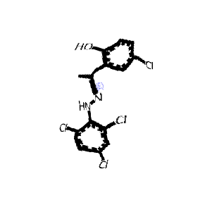 C/C(=N\Nc1c(Cl)cc(Cl)cc1Cl)c1cc(Cl)ccc1O